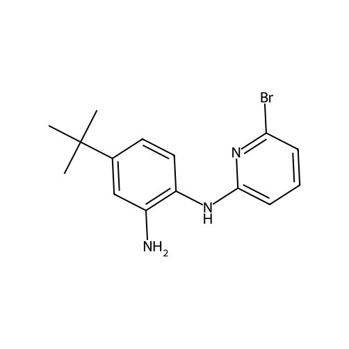 CC(C)(C)c1ccc(Nc2cccc(Br)n2)c(N)c1